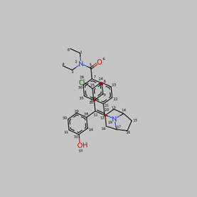 CCN(CC)C(=O)c1ccc(C(=C2CC3CCC(C2)N3Cc2cccc(Cl)c2)c2cccc(O)c2)cc1